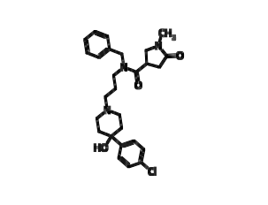 CN1CC(C(=O)N(CCCN2CCC(O)(c3ccc(Cl)cc3)CC2)Cc2ccccc2)CC1=O